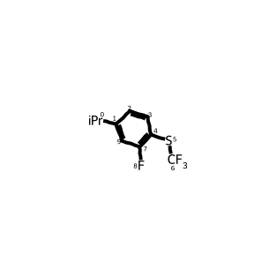 CC(C)c1ccc(SC(F)(F)F)c(F)c1